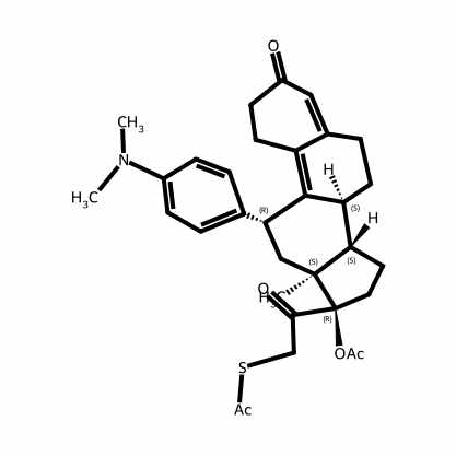 CC(=O)O[C@]1(C(=O)CSC(C)=O)CC[C@H]2[C@@H]3CCC4=CC(=O)CCC4=C3[C@@H](c3ccc(N(C)C)cc3)C[C@@]21C